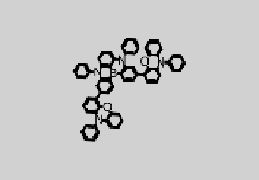 c1ccc(N2c3ccccc3Oc3c(-c4ccc5c(c4)N(c4ccccc4)c4cccc6c4B5c4ccc(-c5cccc7c5Oc5ccccc5N7c5ccccc5)cc4N6c4ccccc4)cccc32)cc1